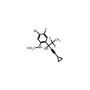 CC(F)(F)C(O)(C#CC1CC1)c1cc(F)c(Br)cc1NC(=O)O